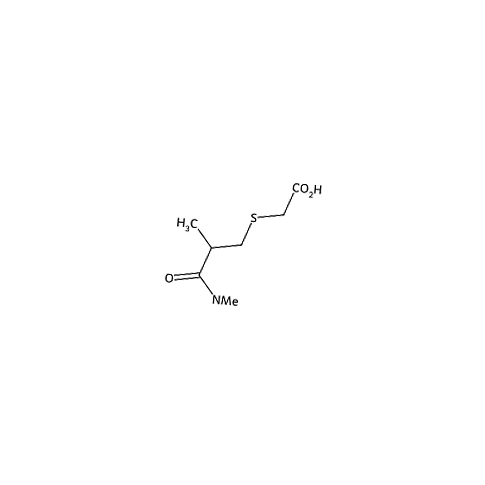 CNC(=O)C(C)CSCC(=O)O